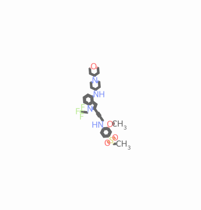 CCS(=O)(=O)c1ccc(NCC#Cc2cc3c(NC4CCN(C5CCOCC5)CC4)cccc3n2CC(F)(F)F)c(OC)c1